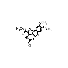 COC(=O)c1sc2c(cnc3cc(OC)c(OC)cc32)c1NC(=O)CCl